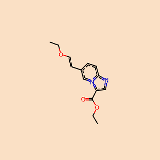 CCO/C=C/c1ccc2ncc(C(=O)OCC)n2c1